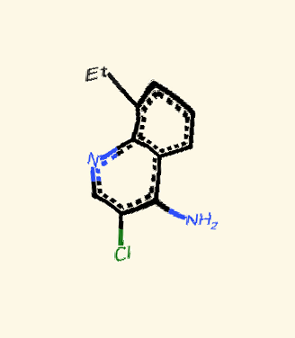 CCc1cccc2c(N)c(Cl)cnc12